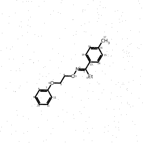 CC/C(=N\OCCOc1c[c]ccc1)c1ccc(C)cc1